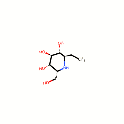 CC[C@H]1N[C@H](CO)[C@H](O)[C@@H](O)[C@@H]1O